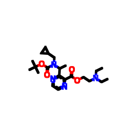 CCN(CC)CCOC(=O)c1nccnc1C(C)N(CC1CC1)C(=O)OC(C)(C)C